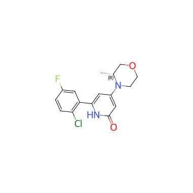 C[C@@H]1COCCN1c1cc(-c2cc(F)ccc2Cl)[nH]c(=O)c1